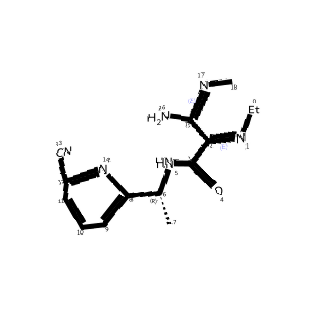 CC/N=C(C(=O)N[C@H](C)c1cccc(C#N)n1)\C(N)=N/C